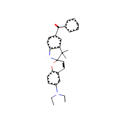 CCN(CC)c1ccc2c(c1)C=CC1(Nc3ccc(C(=O)c4ccccc4)cc3C1(C)C)O2